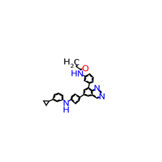 C=CC(=O)Nc1cccc(-c2cc(-c3ccc(Nc4cccc(C5CC5)c4)cc3)cc3cncnc23)c1